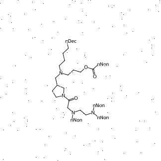 CCCCCCCCCCCCCCN(CCCOC(=O)CCCCCCCCC)CC1CCN(C(=O)CN(CCCCCCCCC)CCN(CCCCCCCCC)CCCCCCCCC)C1